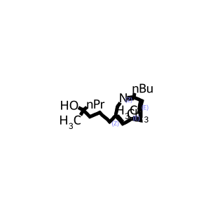 CCCCC1=N\C\C(CCCC(C)(O)CCC)=C/C(C)=C/C(C)=C/1